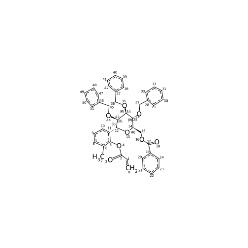 C=CC(=O)Oc1c(C)cccc1[C@H]1O[C@H](COC(=O)c2ccccc2)[C@@H](OCc2ccccc2)[C@H](OCc2ccccc2)[C@@H]1OCc1ccccc1